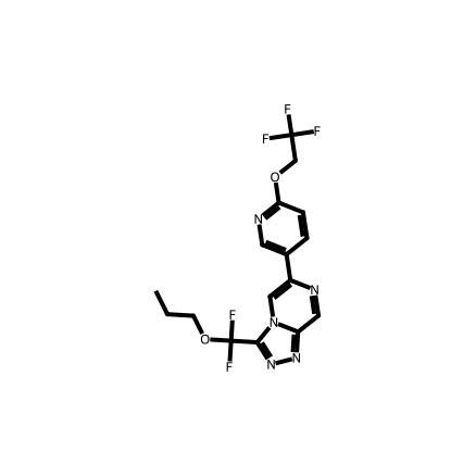 CCCOC(F)(F)c1nnc2cnc(-c3ccc(OCC(F)(F)F)nc3)cn12